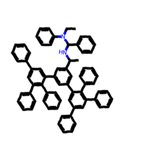 CCN(c1ccccc1)C(NC(C)c1cc(-c2cc(-c3ccccc3)cc(-c3ccccc3)c2-c2ccccc2)cc(-c2cc(-c3ccccc3)cc(-c3ccccc3)c2-c2ccccc2)c1)c1ccccc1